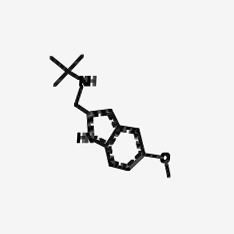 COc1ccc2[nH]c(CNC(C)(C)C)cc2c1